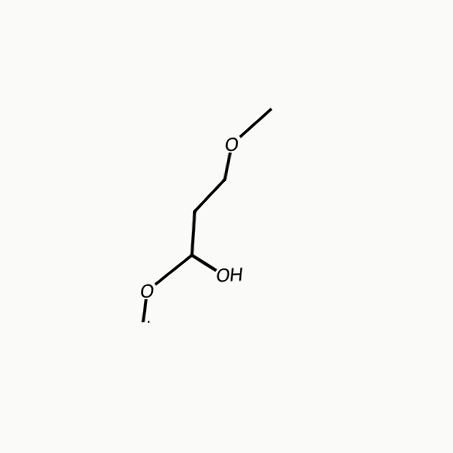 [CH2]OC(O)CCOC